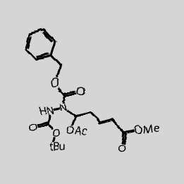 COC(=O)CCCC(OC(C)=O)N(NC(=O)OC(C)(C)C)C(=O)OCc1ccccc1